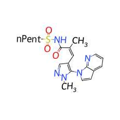 CCCCCS(=O)(=O)NC(=O)C(C)=Cc1cnn(C)c1-n1ccc2cccnc21